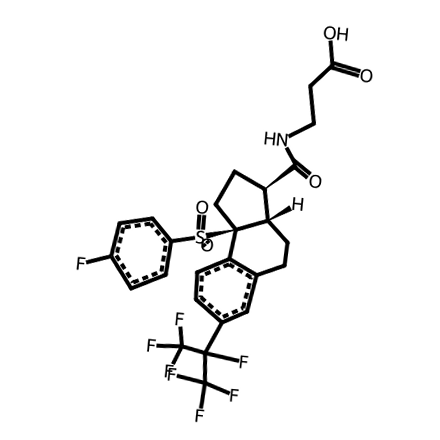 O=C(O)CCNC(=O)[C@@H]1CC[C@@]2(S(=O)(=O)c3ccc(F)cc3)c3ccc(C(F)(C(F)(F)F)C(F)(F)F)cc3CC[C@@H]12